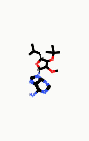 COC1C(OC(C)(C)C)[C@@H](CC(C)C)O[C@H]1n1cnc2c(N)ncnc21